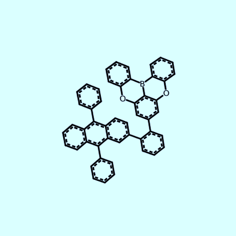 c1ccc(-c2c3ccccc3c(-c3ccccc3)c3cc(-c4ccccc4-c4cc5c6c(c4)Oc4ccccc4B6c4ccccc4O5)ccc23)cc1